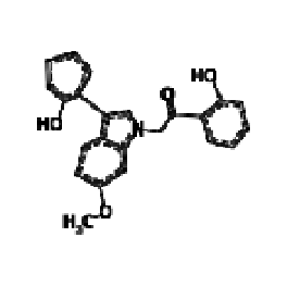 COc1ccc2c(-c3ccccc3O)cn(CC(=O)c3ccccc3O)c2c1